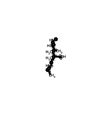 CCCOc1cccc2cc(NC(=O)c3ccc(N=Nc4cc(OCCCS(=O)(=O)O)c(N=Nc5cc(OC)c(N=Nc6ccc7cc(Nc8ccccc8)ccc7c6O)cc5C)cc4C)cc3)ccc12